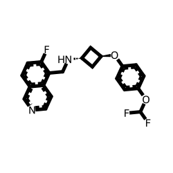 Fc1ccc2cnccc2c1CN[C@H]1C[C@H](Oc2ccc(OC(F)F)cc2)C1